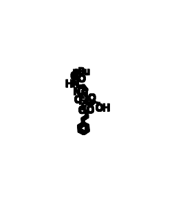 CCCCOC(=O)Nc1ccn([C@@H]2O[C@H](CO)[C@@H](OC(=O)CCc3ccccc3)C2(F)F)c(=O)n1